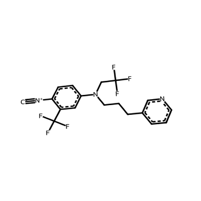 [C-]#[N+]c1ccc(N(CCCc2cccnc2)CC(F)(F)F)cc1C(F)(F)F